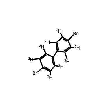 [2H]c1c([2H])c(-c2c([2H])c([2H])c(Br)c([2H])c2[2H])c([2H])c([2H])c1Br